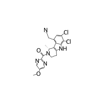 COc1cnc(C(=O)N2CCc3[nH]c4c(Cl)c(Cl)cc(CC#N)c4c3[C@H]2C)nc1